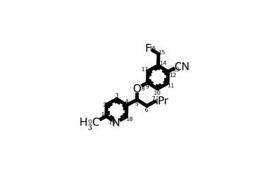 Cc1ccc(C(CC(C)C)Oc2ccc(C#N)c(CF)c2)cn1